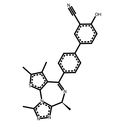 Cc1sc2c(c1C)C(c1ccc(-c3ccc(O)c(C#N)c3)cc1)=N[C@@H](C)c1nnc(C)n1-2